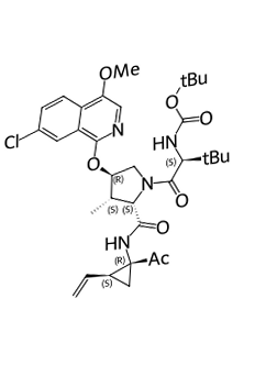 C=C[C@@H]1C[C@]1(NC(=O)[C@@H]1[C@H](C)[C@@H](Oc2ncc(OC)c3ccc(Cl)cc23)CN1C(=O)[C@@H](NC(=O)OC(C)(C)C)C(C)(C)C)C(C)=O